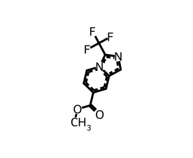 COC(=O)c1ccn2c(C(F)(F)F)ncc2c1